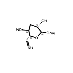 CO[C@H]1O[C@H](C=N)[C@@H](O)C[C@@H]1O